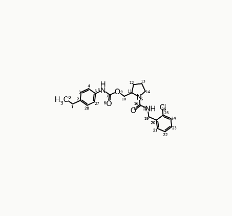 CCc1ccc(NC(=O)OCC2CCCN2C(=O)NCc2ccccc2Cl)cc1